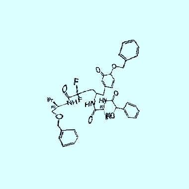 CC(C)[C@H](COCc1ccccc1)NC(=O)C(F)(F)CC(CC1=CC(=O)C(OCc2ccccc2)C=C1)NC(=O)[C@H](NC(=O)C(O)c1ccccc1)C(C)C